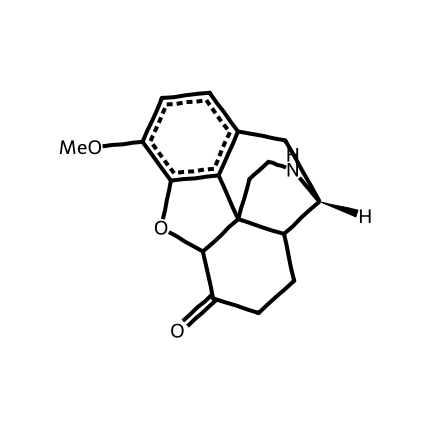 COc1ccc2c3c1OC1C(=O)CCC4[C@@H](C2)NCCC314